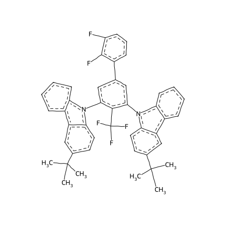 CC(C)(C)c1ccc2c(c1)c1ccccc1n2-c1cc(-c2cccc(F)c2F)cc(-n2c3ccccc3c3cc(C(C)(C)C)ccc32)c1C(F)(F)F